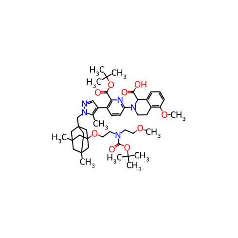 COCCN(CCOC12CC3(C)CC(C)(CC(Cn4ncc(-c5ccc(N6CCc7c(OC)cccc7C6C(=O)O)nc5C(=O)OC(C)(C)C)c4C)(C3)C1)C2)C(=O)OC(C)(C)C